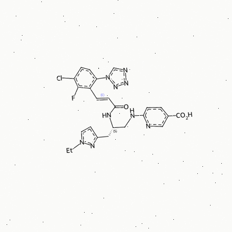 CCn1ccc(C[C@@H](CNc2ccc(C(=O)O)cn2)NC(=O)/C=C/c2c(-n3cnnn3)ccc(Cl)c2F)n1